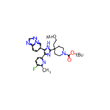 COCCC1(c2nc(-c3ccc(F)c(C)n3)c(-c3ccc4ncnn4c3)[nH]2)CCN(C(=O)OC(C)(C)C)CC1